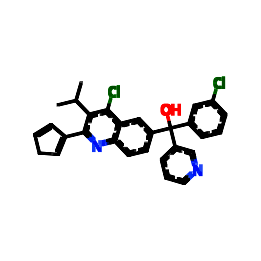 CC(C)c1c(C2=CCC=C2)nc2ccc(C(O)(c3cccnc3)c3cccc(Cl)c3)cc2c1Cl